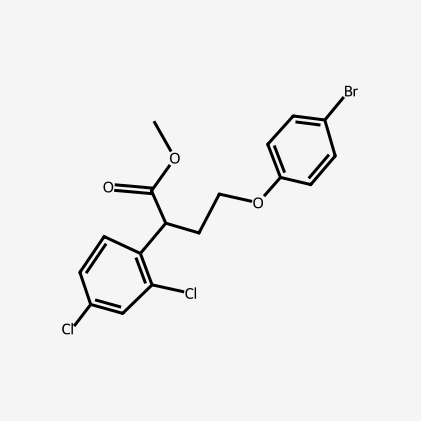 COC(=O)C(CCOc1ccc(Br)cc1)c1ccc(Cl)cc1Cl